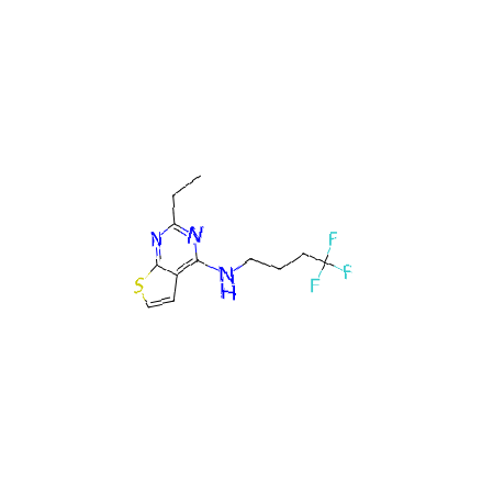 CCc1nc(NCCCC(F)(F)F)c2ccsc2n1